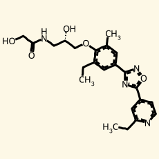 CCc1cc(-c2nc(-c3cc(C)c(OC[C@@H](O)CNC(=O)CO)c(CC)c3)no2)ccn1